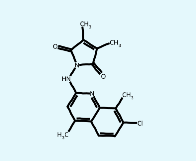 CC1=C(C)C(=O)N(Nc2cc(C)c3ccc(Cl)c(C)c3n2)C1=O